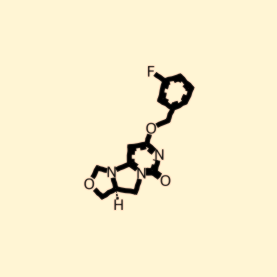 O=c1nc(OCc2cccc(F)c2)cc2n1C[C@H]1COCN21